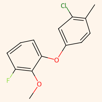 COc1c(F)cccc1Oc1ccc(C)c(Cl)c1